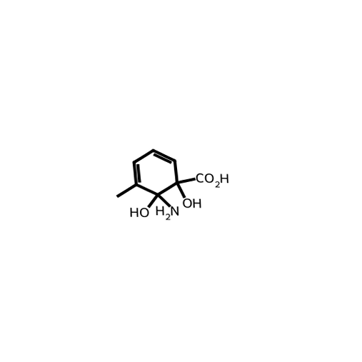 CC1=CC=CC(O)(C(=O)O)C1(N)O